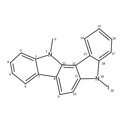 Cn1c2ccccc2c2ccc3c(c4ccccc4n3I)c21